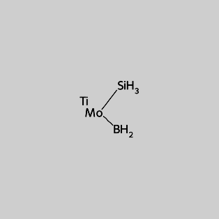 [BH2][Mo][SiH3].[Ti]